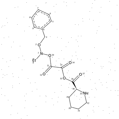 CCN(OCc1ccccc1)OC(=O)C(=O)OC(=O)[C@@H]1CCCCN1